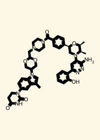 Cc1cn(C2COC(CN3CCN(C(=O)c4ccc([C@@H]5CN(c6cc(-c7ccccc7O)nnc6N)[C@H](C)[C@H](C)O5)cc4)CC3)OC2)c2ccc(N3CCC(=O)NC3=O)cc12